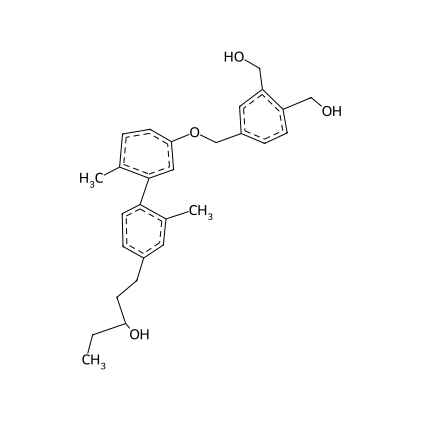 CCC(O)CCc1ccc(-c2cc(OCc3ccc(CO)c(CO)c3)ccc2C)c(C)c1